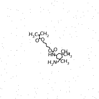 C=C(C)C(=O)OCCCCOC(=O)NC1CC(C)(C)CC(C)(CN)C1